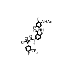 CC(=O)Nc1cc(NC(=O)c2cc(NC(=O)[C@H]3[C@H](c4ccc(F)c(C(F)(F)F)c4)C3(Cl)Cl)ccc2F)c(F)cc1F